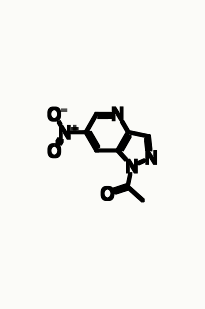 CC(=O)n1ncc2ncc([N+](=O)[O-])cc21